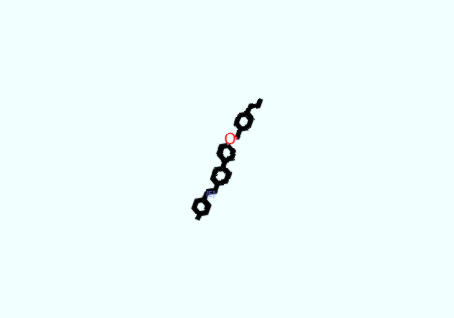 CCCC1CCC(COC2C=CC(C3CCC(/C=C/C4CCC(C)CC4)CC3)CC2)CC1